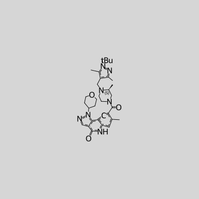 Cc1cc2[nH]c(=O)c3cnn(C4CCOCC4)c3c2cc1C(=O)N1CCN(Cc2c(C)nn(C(C)(C)C)c2C)[C@@H](C)C1